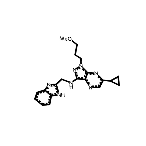 COCCCn1nc(NCc2nc3ccccc3[nH]2)c2ncc(C3CC3)nc21